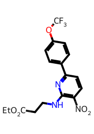 CCOC(=O)CCNc1nc(-c2ccc(OC(F)(F)F)cc2)ccc1[N+](=O)[O-]